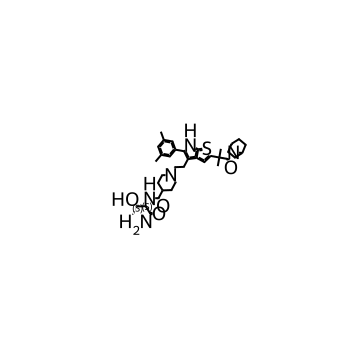 Cc1cc(C)cc(-c2[nH]c3sc(C(C)(C)C(=O)N4C5CCC4CC5)cc3c2CCN2CCC(C(=O)N[C@H](C(N)=O)[C@H](C)O)CC2)c1